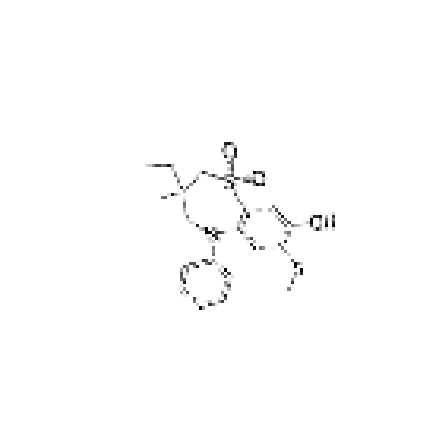 CCC1(C)CN(c2ccccc2)c2cc(SC)c(O)cc2S(=O)(=O)C1